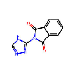 O=C1c2ccccc2C(=O)N1c1nnc[nH]1